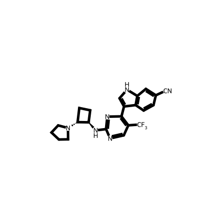 N#Cc1ccc2c(-c3nc(N[C@@H]4CC[C@H]4N4CCCC4)ncc3C(F)(F)F)c[nH]c2c1